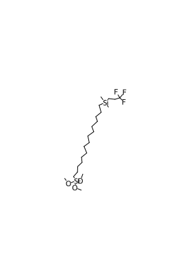 CO[Si](CCCCCCCCCCCCCCC[Si](C)(C)CCC(F)(F)F)(OC)OC